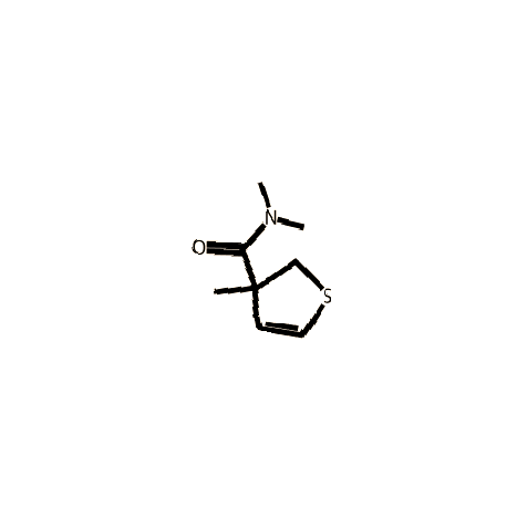 CN(C)C(=O)C1(C)C=CSC1